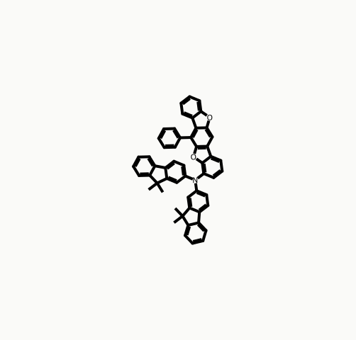 CC1(C)c2ccccc2-c2ccc(N(c3ccc4c(c3)C(C)(C)c3ccccc3-4)c3cccc4c3oc3c(-c5ccccc5)c5c(cc34)oc3ccccc35)cc21